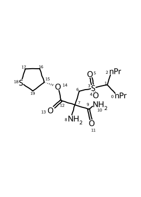 CCCC(CCC)S(=O)(=O)CC(N)(C(N)=O)C(=O)O[C@H]1CCSC1